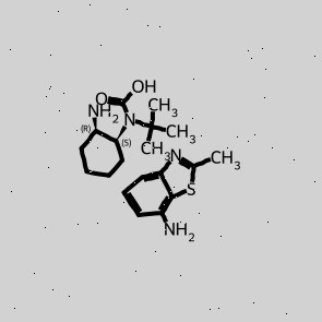 CC(C)(C)N(C(=O)O)[C@H]1CCCC[C@H]1N.Cc1nc2cccc(N)c2s1